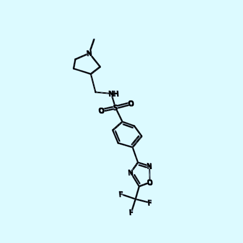 CN1CCC(CNS(=O)(=O)c2ccc(-c3noc(C(F)(F)F)n3)cc2)C1